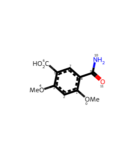 COc1cc(OC)c(C(=O)O)cc1C(N)=O